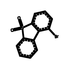 O=S1(=O)c2ccccc2-c2c(Br)cccc21